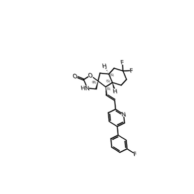 O=C1NC[C@]2(C[C@H]3CC(F)(F)CC[C@@H]3[C@H]2C=Cc2ccc(-c3cccc(F)c3)cn2)O1